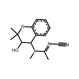 CC(=NC#N)N(C)C1c2ccccc2OC(C)(C)C1O